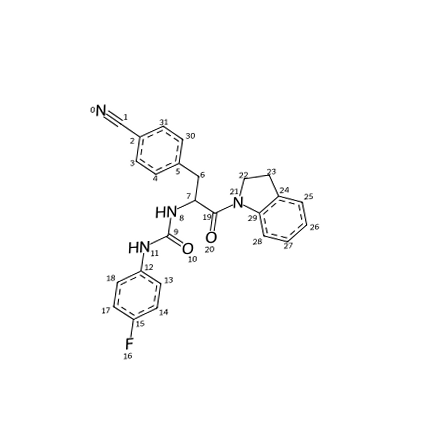 N#Cc1ccc(CC(NC(=O)Nc2ccc(F)cc2)C(=O)N2CCc3ccccc32)cc1